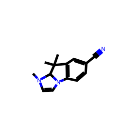 CN1C=CN2c3ccc(C#N)cc3C(C)(C)C12